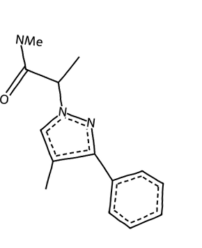 CNC(=O)C(C)n1cc(C)c(-c2ccccc2)n1